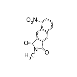 CN1C(=O)c2cc3cccc([N+](=O)[O-])c3cc2C1=O